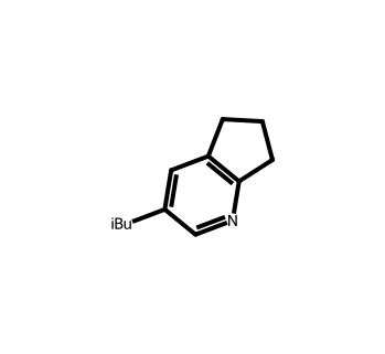 CCC(C)c1cnc2c(c1)CCC2